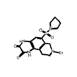 CCN1CCc2c(c(S(=O)(=O)N3CCCC3)cc3[nH]c(=O)c(=O)[nH]c23)C1